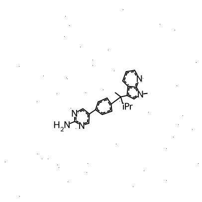 CC(C)C(C)(c1ccc(-c2cnc(N)nc2)cc1)c1cn(C)c2ncccc12